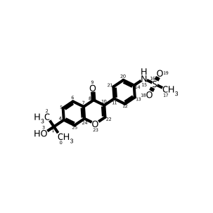 CC(C)(O)c1ccc2c(=O)c(-c3ccc(NS(C)(=O)=O)cc3)coc2c1